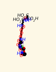 O=C(O)CCC(NC(=O)NC(CCCCNC(=O)CCOCCOCCOCCNC(=O)c1cc(I)cc(C(=O)N2CCN(C(=O)c3cc(Cc4n[nH]c(=O)c5ccccc45)ccc3F)CC2)c1)C(=O)O)C(=O)O